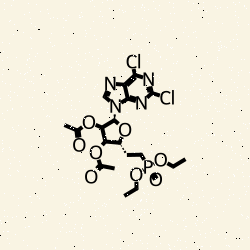 CCOP(=O)(CC[C@H]1O[C@@H](n2cnc3c(Cl)nc(Cl)nc32)C(OC(C)=O)C1OC(C)=O)OCC